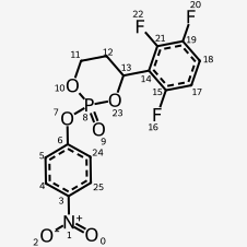 O=[N+]([O-])c1ccc(OP2(=O)OCCC(c3c(F)ccc(F)c3F)O2)cc1